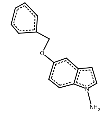 Nn1ccc2cc(OCc3ccccc3)ccc21